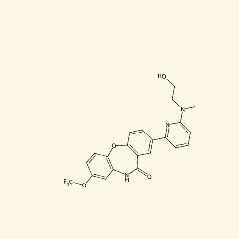 CN(CCO)c1cccc(-c2ccc3c(c2)C(=O)Nc2cc(OC(F)(F)F)ccc2O3)n1